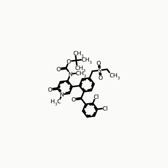 CCS(=O)(=O)Cc1ccc(C(=O)c2cccc(Cl)c2Cl)c(-c2cn(C)c(=O)cc2N(C)C(=O)OC(C)(C)C)c1